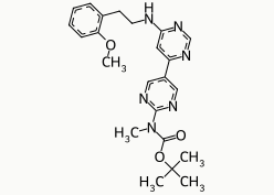 COc1ccccc1CCNc1cc(-c2cnc(N(C)C(=O)OC(C)(C)C)nc2)ncn1